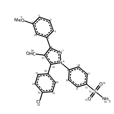 COc1cccc(-c2nn(-c3ccc(S(N)(=O)=O)cc3)c(-c3ccc(Cl)cc3)c2C=O)c1